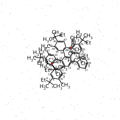 CCC(C)(C)c1cc(C(C)(C)CC)c(-c2cc(-c3ccccc3)c(-c3cc(C)c(C(C)(C)CC)cc3C(C)(C)CC)c(-c3cc(C)c(C(C)(C)CC)cc3C(C)(C)CC)c2-c2cc(C)c(C(C)(C)CC)cc2C(C)(C)CC)cc1C